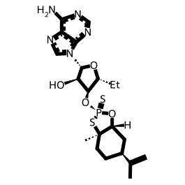 C=C(C)[C@H]1CC[C@@]2(C)S[P@](=S)(O[C@H]3[C@@H](O)[C@H](n4cnc5c(N)ncnc54)O[C@@H]3CC)O[C@@H]2C1